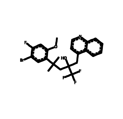 COc1cc(F)c(Br)cc1C(C)(C)CC(O)(Cc1ccnc2ccccc12)C(F)(F)F